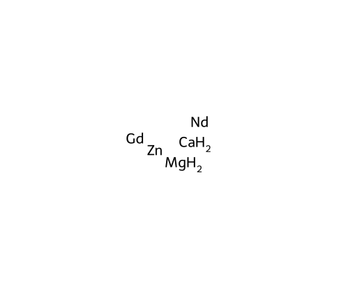 [CaH2].[Gd].[MgH2].[Nd].[Zn]